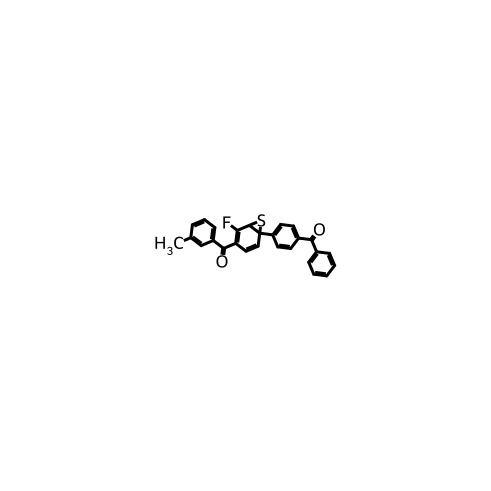 Cc1cccc(C(=O)C2=C(F)C3SC3(c3ccc(C(=O)c4ccccc4)cc3)C=C2)c1